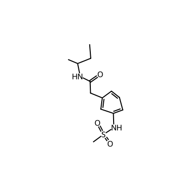 CCC(C)NC(=O)Cc1cccc(NS(C)(=O)=O)c1